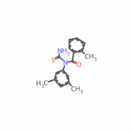 Cc1cc(C)cc(N(C(=O)c2ccccc2C)C(N)=S)c1